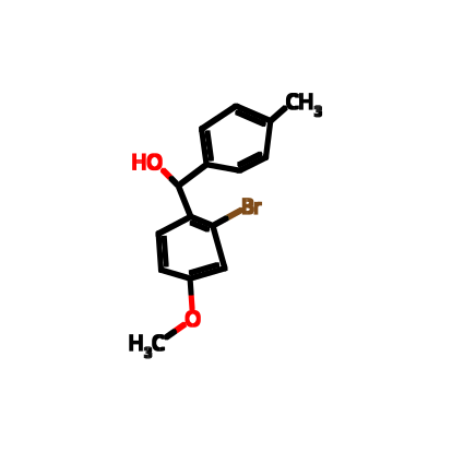 COc1ccc(C(O)c2ccc(C)cc2)c(Br)c1